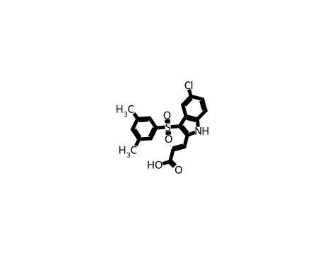 Cc1cc(C)cc(S(=O)(=O)c2c(/C=C/C(=O)O)[nH]c3ccc(Cl)cc23)c1